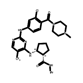 CC(C)NC(=O)[C@H]1CCC[C@H]1Nc1nc(Nc2ccc(C(=O)N3CCN(C)CC3)c(Cl)c2)ncc1C(F)(F)F